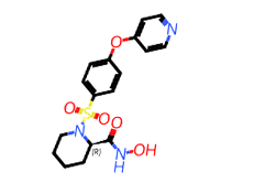 O=C(NO)[C@H]1CCCCN1S(=O)(=O)c1ccc(Oc2ccncc2)cc1